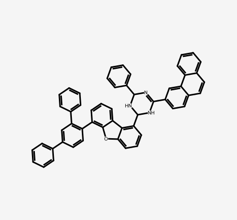 c1ccc(-c2ccc(-c3cccc4c3oc3cccc(C5NC(c6ccc7ccc8ccccc8c7c6)=NC(c6ccccc6)N5)c34)c(-c3ccccc3)c2)cc1